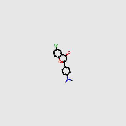 CN(C)c1ccc(-c2cc(=O)c3cc(Br)ccc3o2)cc1